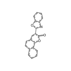 O=c1oc2c(ccc3ccccc32)cc1-c1nc2ccccc2o1